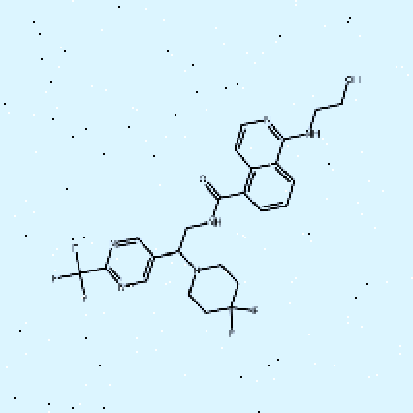 O=C(NCC(c1cnc(C(F)(F)F)nc1)N1CCC(F)(F)CC1)c1cccc2c(NCCO)nccc12